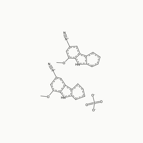 COc1cc([N+]#N)cc2c1[nH]c1ccccc12.COc1cc([N+]#N)cc2c1[nH]c1ccccc12.O=S(=O)([O-])[O-]